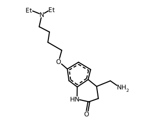 CCN(CC)CCCCOc1ccc2c(c1)NC(=O)CC2CN